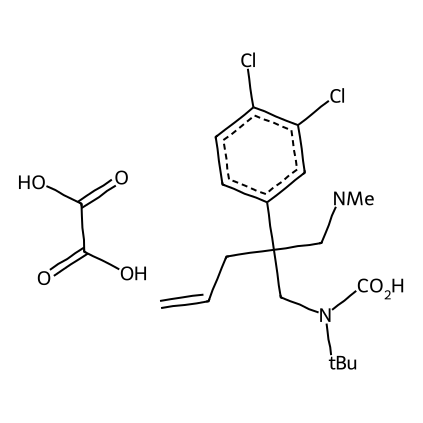 C=CCC(CNC)(CN(C(=O)O)C(C)(C)C)c1ccc(Cl)c(Cl)c1.O=C(O)C(=O)O